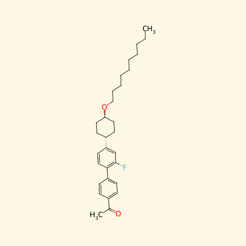 CCCCCCCCCCO[C@H]1CC[C@H](c2ccc(-c3ccc(C(C)=O)cc3)c(F)c2)CC1